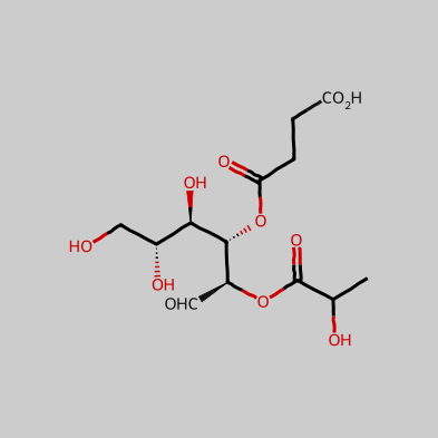 CC(O)C(=O)O[C@@H](C=O)[C@@H](OC(=O)CCC(=O)O)[C@H](O)[C@H](O)CO